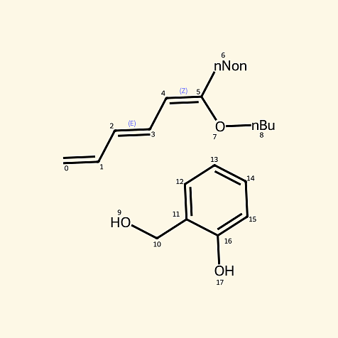 C=C/C=C/C=C(/CCCCCCCCC)OCCCC.OCc1ccccc1O